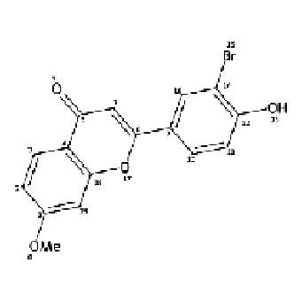 COc1ccc2c(=O)cc(-c3ccc(O)c(Br)c3)oc2c1